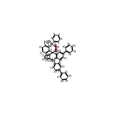 P=P1(c2ccccc2)c2ccccc2C2(c3ccccc3-n3c4ccc(-c5ccccc5)cc4c4cc(-c5ccccc5)cc2c43)c2ccccc21